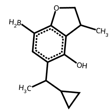 Bc1cc(C(C)C2CC2)c(O)c2c1OCC2C